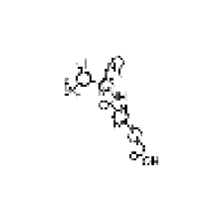 CC1CCCN1Cc1sc(NC(=O)c2cnc(N3CCN(CC(=O)O)CC3)cn2)nc1-c1cc(Cl)cc(C(F)(F)F)c1